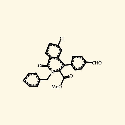 COC(=O)c1c(-c2ccc(C=O)cc2)c2cc(Cl)ccc2c(=O)n1Cc1ccccc1